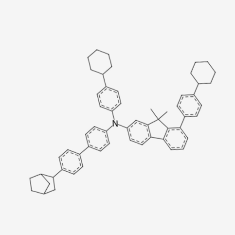 CC1(C)c2cc(N(c3ccc(-c4ccc(C5CC6CCC5C6)cc4)cc3)c3ccc(C4CCCCC4)cc3)ccc2-c2cccc(-c3ccc(C4CCCCC4)cc3)c21